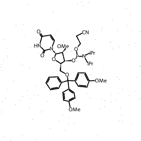 COc1ccc(C(OC[C@H]2O[C@@H](n3ccc(=O)[nH]c3=O)[C@@H](OC)[C@H]2OP(OCCC#N)N(C(C)C)C(C)C)(c2ccccc2)c2ccc(OC)cc2)cc1